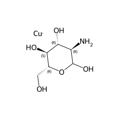 N[C@H]1C(O)O[C@H](CO)[C@@H](O)[C@@H]1O.[Cu]